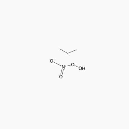 CCC.O=[N+]([O-])OO